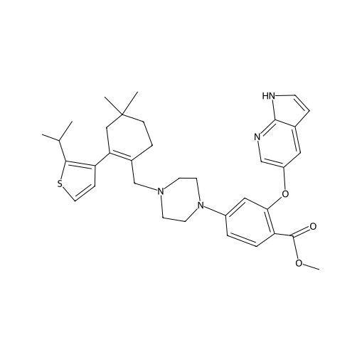 COC(=O)c1ccc(N2CCN(CC3=C(c4ccsc4C(C)C)CC(C)(C)CC3)CC2)cc1Oc1cnc2[nH]ccc2c1